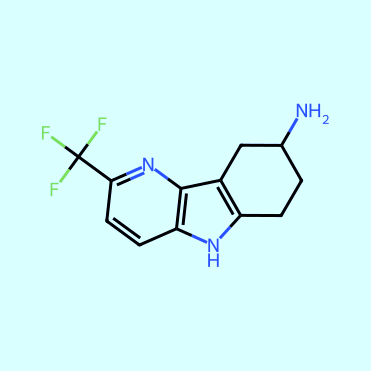 NC1CCc2[nH]c3ccc(C(F)(F)F)nc3c2C1